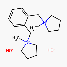 C[N+]1(Cc2ccccc2C[N+]2(C)CCCC2)CCCC1.[OH-].[OH-]